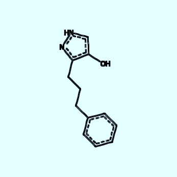 Oc1c[nH]nc1CCCc1ccccc1